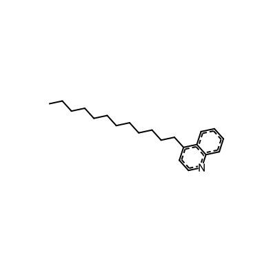 CCCCCCCCCCCCc1ccnc2ccccc12